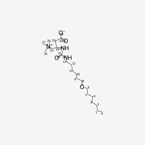 CCCCCCCOCCCCCCNC(=O)NC(CC(=O)[O-])C[N+](C)(C)C